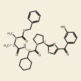 C[C@@H](C(=O)N[C@H](C(=O)N1CCC[C@H]1c1nc(C(=O)c2cccc(O)c2)cs1)C1CCCCC1)N(C)C(=O)OCc1ccccc1